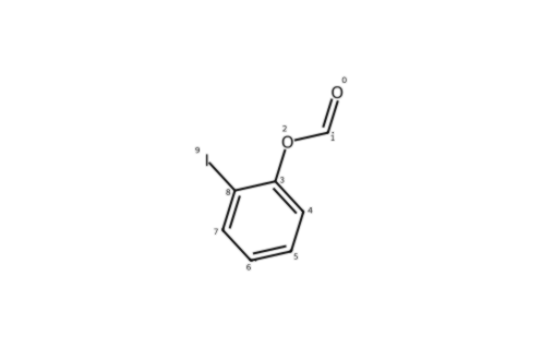 O=[C]Oc1cc[c]cc1I